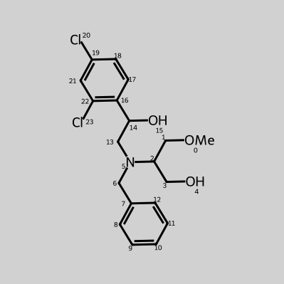 COCC(CO)N(Cc1ccccc1)CC(O)c1ccc(Cl)cc1Cl